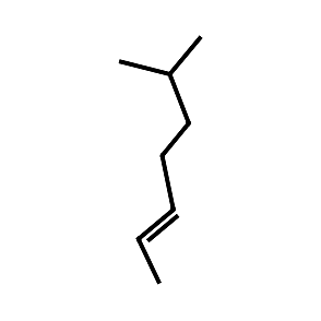 CC=CCC[C](C)C